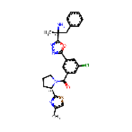 Cc1csc([C@H]2CCCN2C(=O)c2cc(Cl)cc(-c3nnc([C@](C)(N)Cc4ccccc4)o3)c2)n1